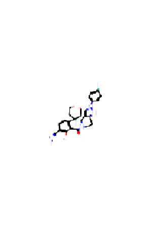 COc1c(C#N)ccc(C2(F)CCOCC2)c1C(=O)N1CCc2nn(-c3ccc(F)cc3)cc2C1